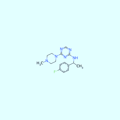 CC(Nc1ncnc(N2CCN(C)CC2)n1)c1ccc(F)cc1